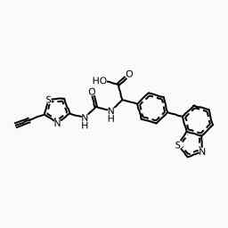 C#Cc1nc(NC(=O)NC(C(=O)O)c2ccc(-c3cccc4ncsc34)cc2)cs1